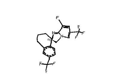 FC1=CC(C(F)(F)F)=CN2C[C@@]3(CCCc4cc(C(F)(F)F)ccc43)N=C12